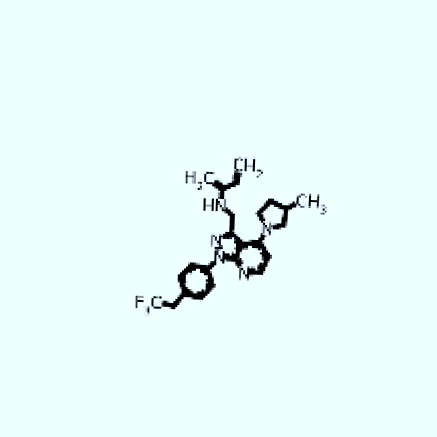 C=CC(=C)NCc1nn(-c2ccc(CC(F)(F)F)cc2)c2nccc(N3CCC(C)C3)c12